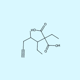 C#CCC(C)C(CC)C(CC)(C(=O)O)C(=O)O